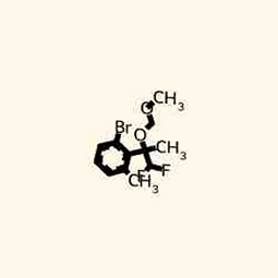 COCOC(C)(c1c(C)cccc1Br)C(F)F